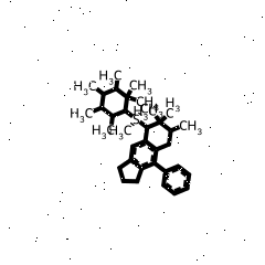 CC1C(C)C(C)C(C)(C)C(S(C)(C)C2c3cc4c(c(-c5ccccc5)c3CC(C)C2(C)C)CCC4)C1C